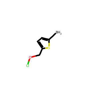 Bc1ccc(COCl)s1